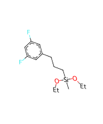 CCO[Si](C)(CCCc1cc(F)cc(F)c1)OCC